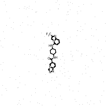 O=C(NC1CCC(Nc2cccc3nc(C(F)(F)F)cn23)CC1)c1ccc2nncn2c1